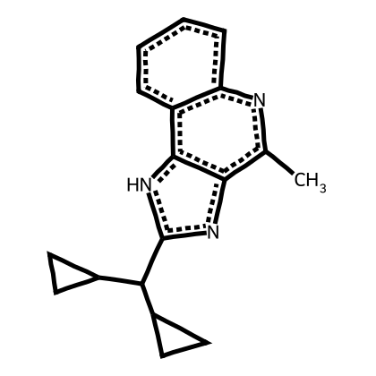 Cc1nc2ccccc2c2[nH]c(C(C3CC3)C3CC3)nc12